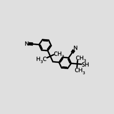 CC(C)(S)c1ccc(CC(C)(C)c2cccc(C#N)c2)cc1C#N